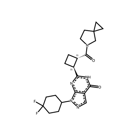 O=C([C@H]1CC[C@@H]1c1nc2c(cnn2C2CCC(F)(F)CC2)c(=O)[nH]1)N1CCC2(CC2)C1